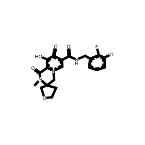 CN1C(=O)c2c(O)c(=O)c(C(=O)NCc3cccc(Cl)c3F)cn2CC12CCOC2